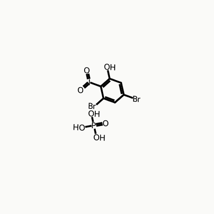 O=I(=O)c1c(O)cc(Br)cc1Br.O=P(O)(O)O